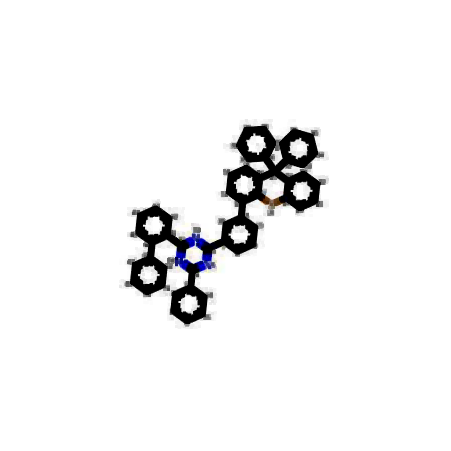 c1ccc(-c2nc(-c3cccc(-c4cccc5c4Sc4ccccc4C5(c4ccccc4)c4ccccc4)c3)nc(-c3ccccc3-c3ccccc3)n2)cc1